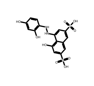 O=S(=O)(O)c1cc(O)c2c(NNc3ccc(O)cc3O)cc(S(=O)(=O)O)cc2c1